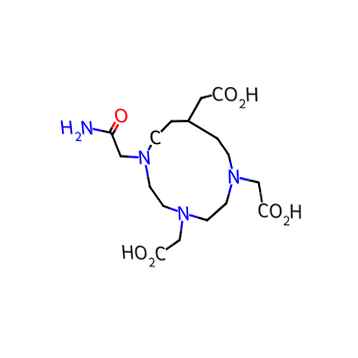 NC(=O)CN1CCC(CC(=O)O)CCN(CC(=O)O)CCN(CC(=O)O)CC1